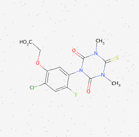 Cn1c(=S)n(C)c(=O)n(-c2cc(OCC(=O)O)c(Cl)cc2F)c1=O